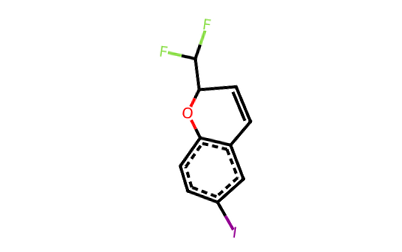 FC(F)C1C=Cc2cc(I)ccc2O1